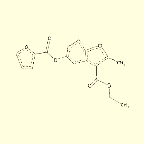 CCOC(=O)c1c(C)oc2ccc(OC(=O)c3ccco3)cc12